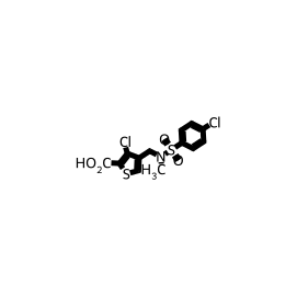 CN(Cc1csc(C(=O)O)c1Cl)S(=O)(=O)c1ccc(Cl)cc1